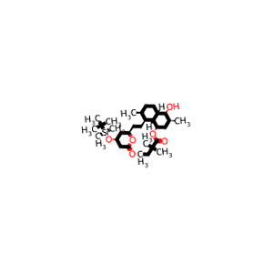 CCC(C)(C)C(=O)O[C@H]1C[C@@H](C)[C@@H](O)[C@@H]2CC[C@H](C)[C@H](CC[C@@H]3C[C@@H](O[Si](C)(C)C(C)(C)C)CC(=O)O3)[C@H]21